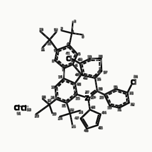 CC(C)(C)c1cc2c(cc1C(C)(C)C)-c1cc(C(C)(C)C)c(C(C)(C)C)[c]([Zr+2](=[C](c3cccc(Cl)c3)c3cccc(Cl)c3)[CH]3C=CC=C3)c1C2.[Cl-].[Cl-]